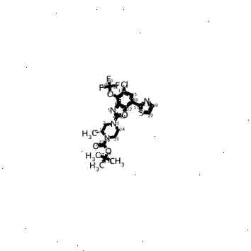 C[C@@H]1CN(c2nc3c(OC(F)(F)F)c(Cl)cc(-c4nccs4)c3o2)CCN1C(=O)OC(C)(C)C